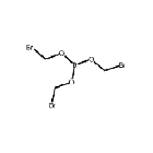 BrCOB(OCBr)OCBr